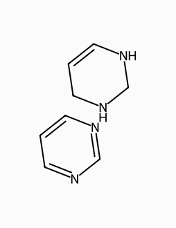 C1=CNCNC1.c1cncnc1